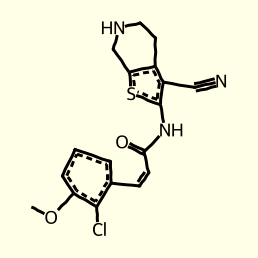 COc1cccc(/C=C\C(=O)Nc2sc3c(c2C#N)CCNC3)c1Cl